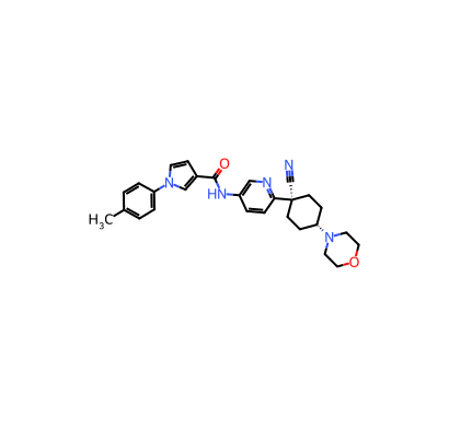 Cc1ccc(-n2ccc(C(=O)Nc3ccc([C@]4(C#N)CC[C@@H](N5CCOCC5)CC4)nc3)c2)cc1